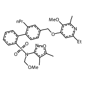 CCCc1cc(COc2cc(CC)nc(C)c2OC)ccc1-c1ccccc1S(=O)(=O)N(COC)c1noc(C)c1C